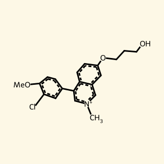 COc1ccc(-c2c[n+](C)cc3cc(OCCCO)ccc23)cc1Cl